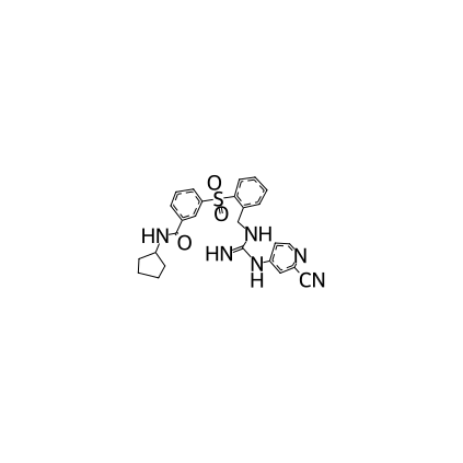 N#Cc1cc(NC(=N)NCc2ccccc2S(=O)(=O)c2cccc(C(=O)NC3CCCC3)c2)ccn1